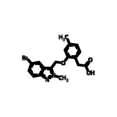 Cc1ccc(CC(=O)O)c(OCc2c3cc(Br)ccc3nn2C)c1